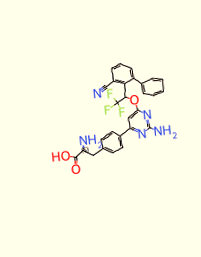 N#Cc1cccc(-c2ccccc2)c1C(Oc1cc(-c2ccc(C[C@H](N)C(=O)O)cc2)nc(N)n1)C(F)(F)F